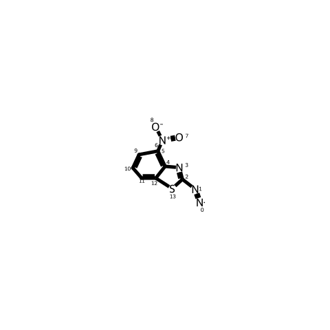 [N]=Nc1nc2c([N+](=O)[O-])cccc2s1